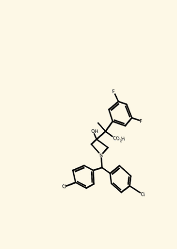 CC(C(=O)O)(c1cc(F)cc(F)c1)C1(O)CN(C(c2ccc(Cl)cc2)c2ccc(Cl)cc2)C1